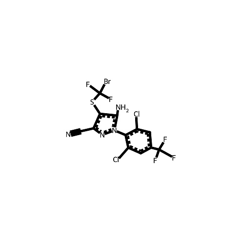 N#Cc1nn(-c2c(Cl)cc(C(F)(F)F)cc2Cl)c(N)c1SC(F)(F)Br